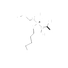 CCCCCSP(=O)(N(C)COC)N(C)C(C)=S